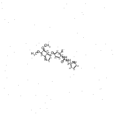 COc1cc2nccc(Oc3ccc(NC(=O)NCc4ccccn4)c(F)c3)c2cc1OC